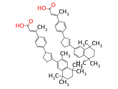 CC(=CC(=O)O)c1ccc(C2C=C(c3cc4c(cc3C)C(C)(C)CCC4(C)C)CC2)cc1.CC(=CC(=O)O)c1ccc(C2C=C(c3ccc4c(c3)C(C)(C)CCC4(C)C)CC2)cc1